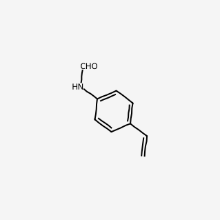 C=Cc1ccc(NC=O)cc1